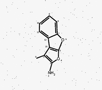 Cc1c(N)oc2oc3ccccc3c12